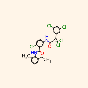 CCc1cccc(C)c1NC(=O)c1cc(NC(=O)C2C(c3cc(Cl)cc(Cl)c3)C2(Cl)Cl)ccc1Cl